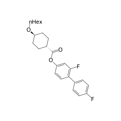 CCCCCCO[C@H]1CC[C@H](C(=O)Oc2ccc(-c3ccc(F)cc3)c(F)c2)CC1